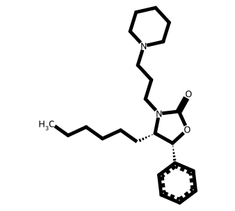 CCCCCC[C@H]1[C@@H](c2ccccc2)OC(=O)N1CCCN1CCCCC1